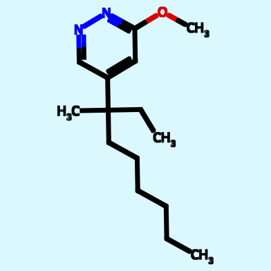 CCCCCCC(C)(CC)c1cnnc(OC)c1